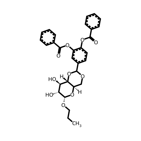 CCCO[C@H]1O[C@@H]2COC(c3ccc(OC(=O)c4ccccc4)c(OC(=O)c4ccccc4)c3)O[C@H]2[C@H](O)[C@H]1O